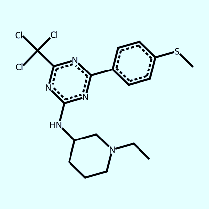 CCN1CCCC(Nc2nc(-c3ccc(SC)cc3)nc(C(Cl)(Cl)Cl)n2)C1